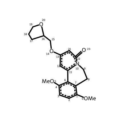 COc1ccc(OC)c2c1CCn1c-2cc(OCC2CCCO2)cc1=O